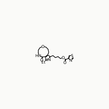 CCn1nc(CCCCOC(=O)c2cscn2)c2c1C(=O)NCCCOCCC2